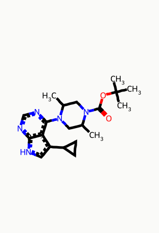 CC1CN(c2ncnc3[nH]cc(C4CC4)c23)C(C)CN1C(=O)OC(C)(C)C